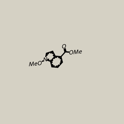 COC(=O)c1cccc2c1ccn2OC